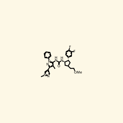 COCCC1C[C@@H](NC(=O)Nc2c(C)c(-c3cnn(C)c3)nn2-c2ccccc2)[C@H](c2ccc(F)c(F)c2)C1